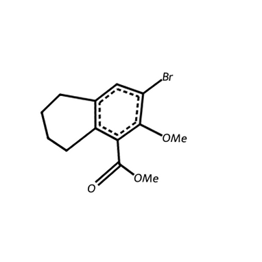 COC(=O)c1c2c(cc(Br)c1OC)CCCC2